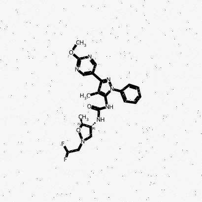 COc1ncc(-c2nn(-c3ccccc3)c(NC(=O)N[C@@H]3CN(CC(F)F)O[C@H]3C)c2C)cn1